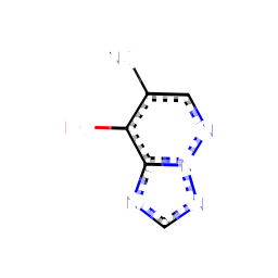 N#Cc1cnn2ncnc2c1O